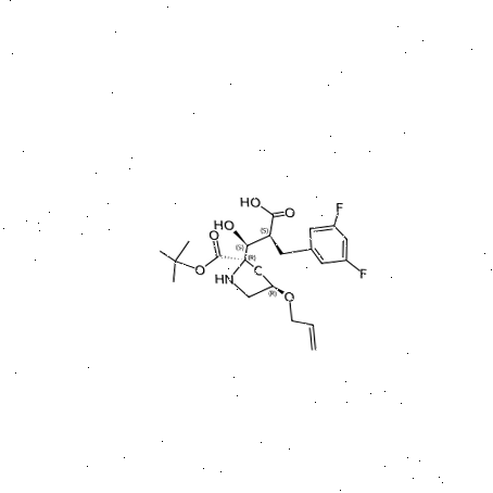 C=CCO[C@H]1CN[C@@](C(=O)OC(C)(C)C)([C@@H](O)[C@H](Cc2cc(F)cc(F)c2)C(=O)O)C1